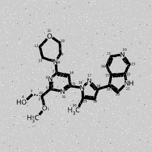 CO[C@H](CO)c1nc(N2CCOCC2)cc(-n2nc(-c3c[nH]c4cnccc34)cc2C)n1